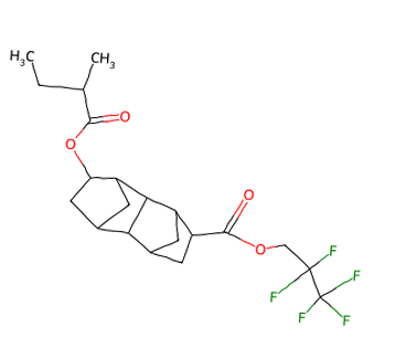 CCC(C)C(=O)OC1CC2CC1C1C3CC(CC3C(=O)OCC(F)(F)C(F)(F)F)C21